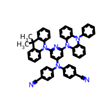 CC1(C)c2ccccc2N(c2cc(N(c3ccc(C#N)cc3)c3ccc(C#N)cc3)cc(N3c4ccccc4N(c4ccccc4)c4ccccc43)n2)c2ccccc21